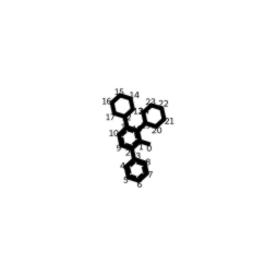 Cc1c(-c2ccccc2)ccc(C2CCCCC2)c1C1CCCCC1